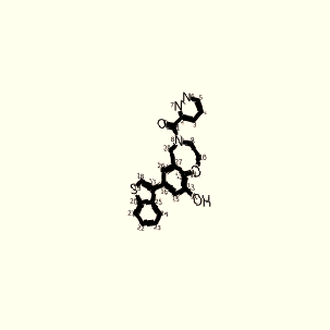 O=C(c1cccnn1)N1CCOc2c(O)cc(-c3csc4ccccc34)cc2C1